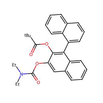 CCN(CC)C(=O)Oc1cc2ccccc2c(-c2cccc3ccccc23)c1OC(=O)C(C)(C)C